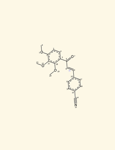 COc1ccc(C(=O)/C=C/c2ccc(C#N)cc2)c(OC)c1OC